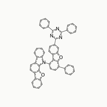 c1ccc(-c2nc(-c3ccccc3)nc(-c3ccc4c(c3)oc3c(-c5ccccc5)ccc(-n5c6ccccc6c6ccc7c8ccccc8oc7c65)c34)n2)cc1